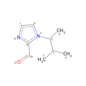 CC(C)C(C)n1ccnc1C=O